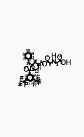 O=C(O)CNCC(=O)OC[C@H]1CCN(C(=O)c2cc(C(F)(F)F)cc(C(F)(F)F)c2)[C@@H](Cc2ccccc2)C1